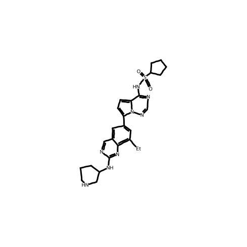 CCc1cc(-c2ccc3c(NS(=O)(=O)C4CCCC4)ncnn23)cc2cnc(NC3CCCNC3)nc12